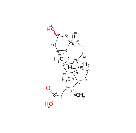 C[C@H](CCC(=O)O)[C@H]1CC[C@H]2[C@@H]3CCC[C@@H]4C[C@H](O)CC[C@]4(C)C3CC[C@]12C